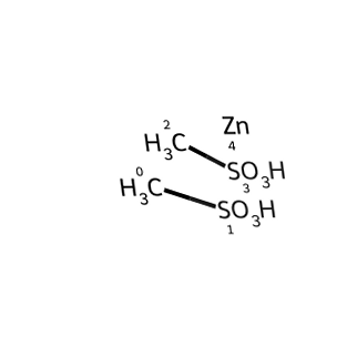 CS(=O)(=O)O.CS(=O)(=O)O.[Zn]